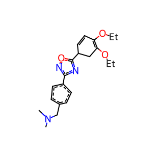 CCOC1=C(OCC)CC(c2nc(-c3ccc(CN(C)C)cc3)no2)C=C1